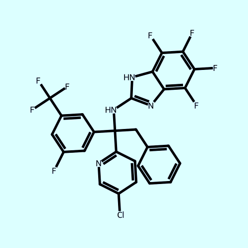 Fc1cc(C(F)(F)F)cc(C(Cc2ccccc2)(Nc2nc3c(F)c(F)c(F)c(F)c3[nH]2)c2ccc(Cl)cn2)c1